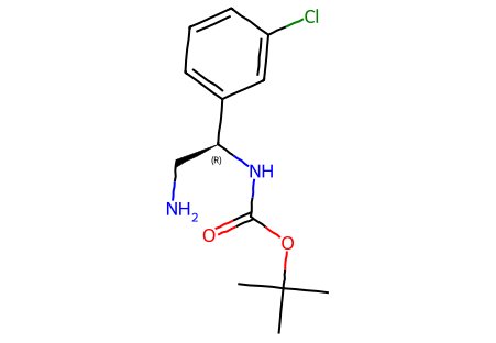 CC(C)(C)OC(=O)N[C@@H](CN)c1cccc(Cl)c1